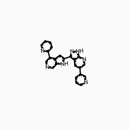 c1ccc(-c2cncc3[nH]c(-c4n[nH]c5ncc(-c6cccnc6)cc45)cc23)nc1